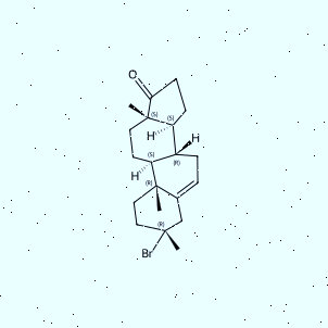 C[C@@]1(Br)CC[C@@]2(C)C(=CC[C@@H]3[C@@H]2CC[C@]2(C)C(=O)CC[C@@H]32)C1